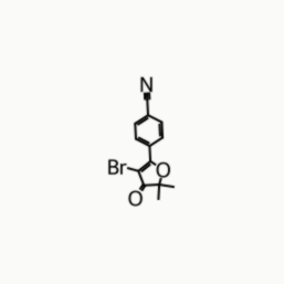 CC1(C)OC(c2ccc(C#N)cc2)=C(Br)C1=O